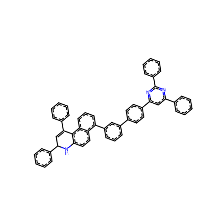 C1=C(c2ccccc2)c2c(ccc3c(-c4cccc(-c5ccc(-c6cc(-c7ccccc7)nc(-c7ccccc7)n6)cc5)c4)cccc23)NC1c1ccccc1